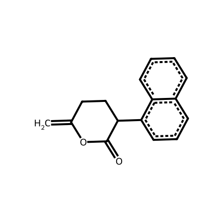 C=C1CCC(c2cccc3ccccc23)C(=O)O1